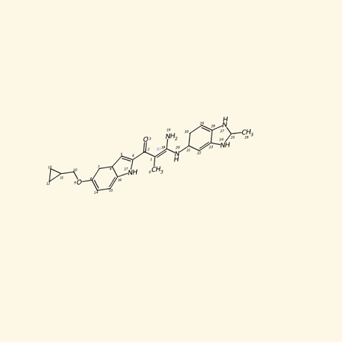 C/C(C(=O)C1=CC2CC(OCC3CC3)=CC=C2N1)=C(/N)NC1C=C2NC(C)NC2=CC1